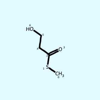 CSC(=O)CCO